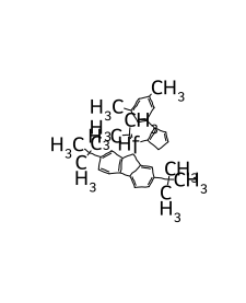 C[C](C)=[Hf]([C]1=C(c2cc(C)cc(C)c2)C=CC1)[CH]1c2cc(C(C)(C)C)ccc2-c2ccc(C(C)(C)C)cc21